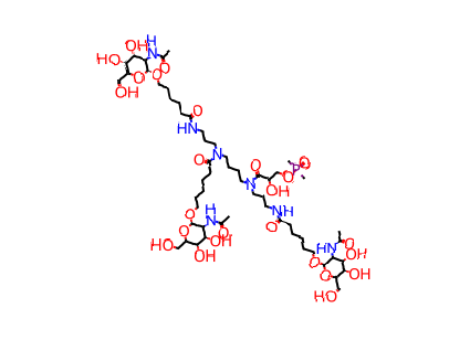 CC(=O)NC1[C@H](OCCCCCC(=O)NCCCN(CCCCN(CCCNC(=O)CCCCCO[C@@H]2OC(CO)[C@H](O)[C@H](O)C2NC(C)=O)C(=O)C(O)COP(C)(C)=O)C(=O)CCCCCO[C@@H]2OC(CO)[C@H](O)[C@H](O)C2NC(C)=O)OC(CO)[C@H](O)[C@@H]1O